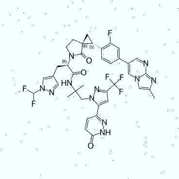 Cc1cn2cc(-c3ccc([C@H]4C[C@@]45CCN([C@H](Cc4cnn(C(F)F)c4)C(=O)NC(C)(C)Cn4nc(C(F)(F)F)cc4-c4ccc(=O)[nH]n4)C5=O)c(F)c3)cnc2n1